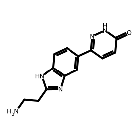 NCCc1nc2cc(-c3ccc(=O)[nH]n3)ccc2[nH]1